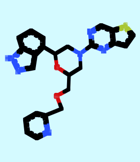 c1ccc(COCC2CN(c3ncc4sccc4n3)CC(c3cccc4[nH]ncc34)O2)nc1